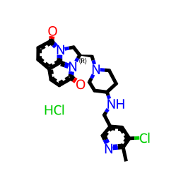 Cc1ncc(CNC2CCN(C[C@@H]3Cn4c(=O)ccc5ccc(=O)n3c54)CC2)cc1Cl.Cl